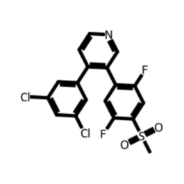 CS(=O)(=O)c1cc(F)c(-c2cnccc2-c2cc(Cl)cc(Cl)c2)cc1F